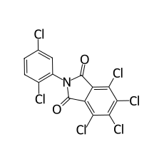 O=C1c2c(Cl)c(Cl)c(Cl)c(Cl)c2C(=O)N1c1cc(Cl)ccc1Cl